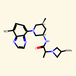 CNC1CN(C(C)C(=O)N[C@@H]2C[C@H](C)CN(c3ccc(C#N)c4nccnc34)C2)C1